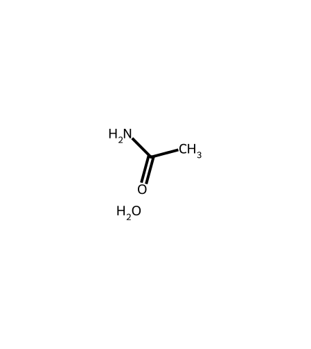 CC(N)=O.O